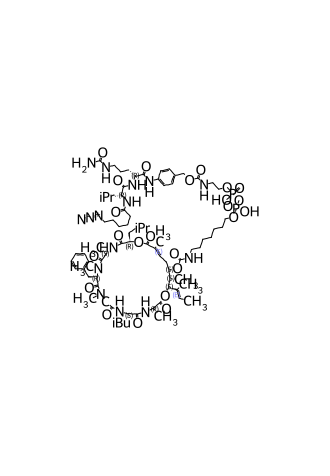 C/C=C(\C)[C@H]1OC(=O)[C@@H](C)NC(=O)[C@H](C(C)CC)NC(=O)CN(C)C(=O)[C@@H](Cc2ccccc2)N(C)C(=O)[C@H](C)NC(=O)[C@@H](CC(C)C)OC(=O)/C(C)=C/C[C@H](OC(=O)NCCCCCCCOP(=O)(O)OP(=O)(O)OCCNC(=O)OCc2ccc(NC(=O)[C@@H](CCCNC(N)=O)NC(=O)[C@H](NC(=O)CCCCCN=[N+]=[N-])C(C)C)cc2)[C@@H]1C